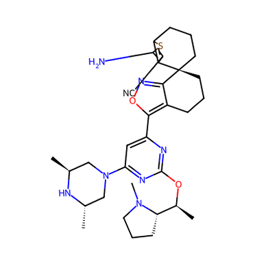 C[C@H](Oc1nc(-c2onc3c2CCC[C@@]32CCCc3sc(N)c(C#N)c32)cc(N2C[C@H](C)N[C@@H](C)C2)n1)[C@@H]1CCCN1C